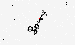 CC(=O)NCC12CC(COc3ccc(-c4ccnn4C4CCCCO4)nc3)(C1)C2